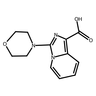 O=C(O)c1nc(N2CCOCC2)n2ccccc12